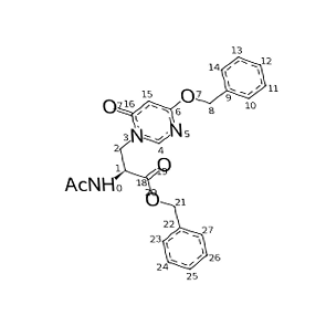 CC(=O)N[C@@H](Cn1cnc(OCc2ccccc2)cc1=O)C(=O)OCc1ccccc1